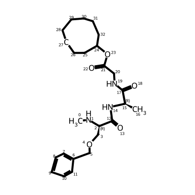 CN[C@H](COCc1ccccc1)C(=O)N[C@H](C)C(=O)NCC(=O)OC1CCCCCCCC1